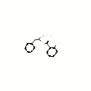 CCCCCC(Cc1ccccc1)OC(=O)c1ccccc1C(=O)O